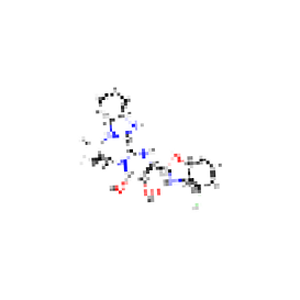 Cn1c(-c2nc3ccccc3n2C2CCC2)nc(-c2nc3c(Cl)cccc3o2)c(O)c1=O